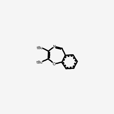 CC(C)(C)C1=C(C(C)(C)C)Oc2ccccc2C=N1